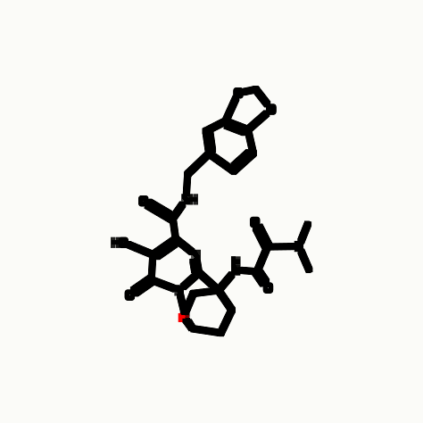 CN(C)C(=O)C(=O)NC12CCC(CC1)Cn1c2nc(C(=O)NCc2ccc3c(c2)OCO3)c(O)c1=O